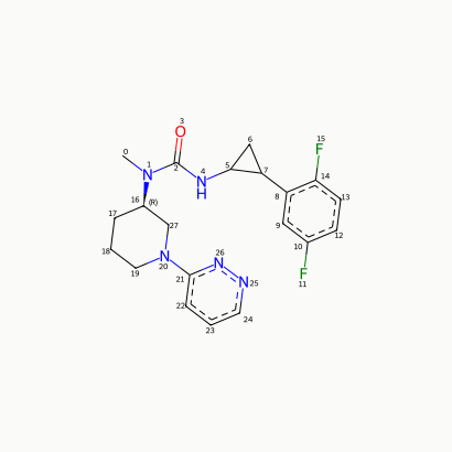 CN(C(=O)NC1CC1c1cc(F)ccc1F)[C@@H]1CCCN(c2cccnn2)C1